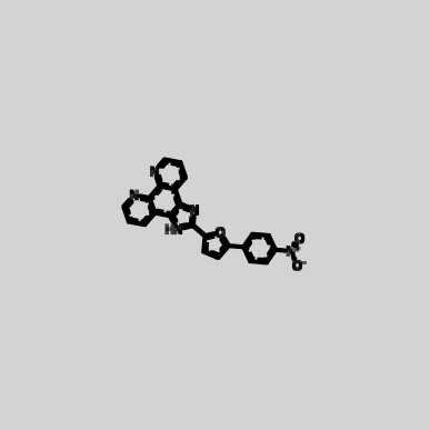 O=[N+]([O-])c1ccc(-c2ccc(-c3nc4c5cccnc5c5ncccc5c4[nH]3)o2)cc1